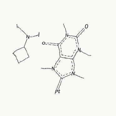 Cn1c(=O)c2c(n(C)c1=O)n(C)[c](=[Pt])n2C.IN(I)C1CCC1